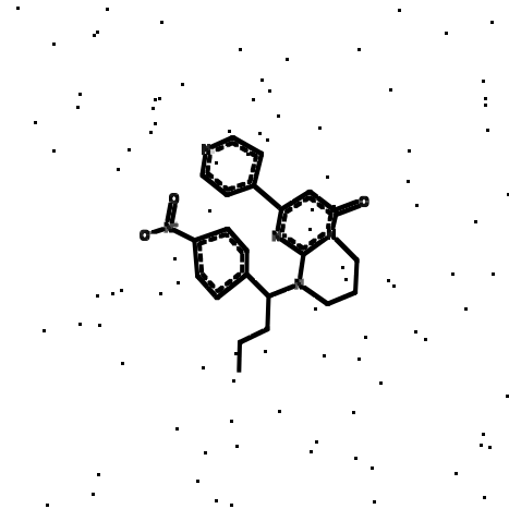 CCCC(c1ccc([N+](=O)[O-])cc1)N1CCCn2c1nc(-c1ccncc1)cc2=O